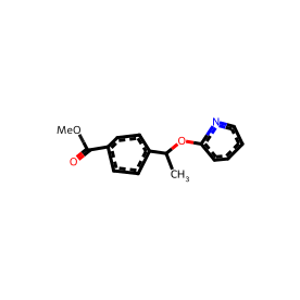 COC(=O)c1ccc(C(C)Oc2ccccn2)cc1